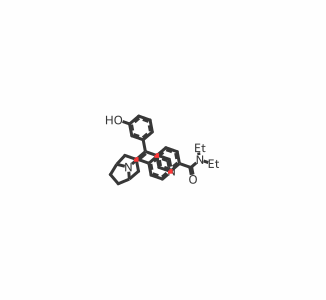 CCN(CC)C(=O)c1ccc(C(=C2CC3CCC(C2)N3Cc2ccncc2)c2cccc(O)c2)cc1